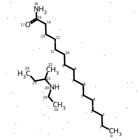 CCCCCCCCCCCCCCCC(N)=O.CCNC(C)CC